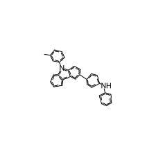 Cc1cccc(-n2c3ccccc3c3cc(-c4ccc(Nc5ccccc5)cc4)ccc32)c1